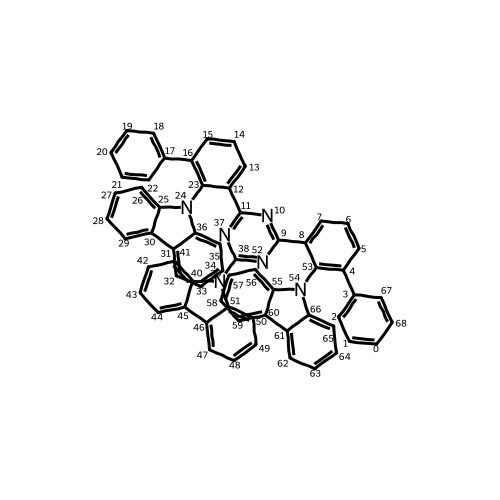 c1ccc(-c2cccc(-c3nc(-c4cccc(-c5ccccc5)c4-n4c5ccccc5c5ccccc54)nc(-n4c5ccccc5c5ccccc54)n3)c2-n2c3ccccc3c3ccccc32)cc1